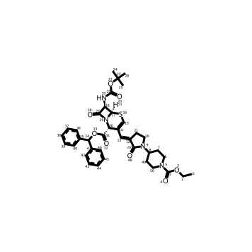 CCOC(=O)N1CCC(N2CCC(=CC3=CS[C@@H]4[C@H](NC(=O)OC(C)(C)C)C(=O)N4[C@H]3C(=O)OC(c3ccccc3)c3ccccc3)C2=O)CC1